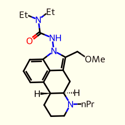 CCCN1CCC[C@@H]2c3cccc4c3c(c(COC)n4NC(=O)N(CC)CC)C[C@H]21